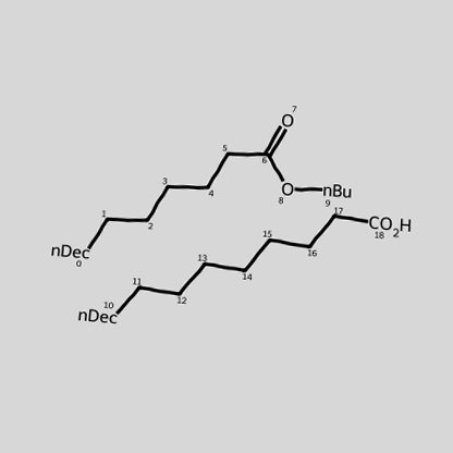 CCCCCCCCCCCCCCCC(=O)OCCCC.CCCCCCCCCCCCCCCCCC(=O)O